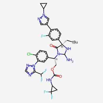 CC(C)(C)C[C@]1(c2ccc(-c3cnn(C4CC4)c3)c(F)c2)NC(N)N([C@H](COC(=O)NC2CC2(F)F)c2ccc(Cl)c(-n3ncnc3C(F)F)c2)C1=O